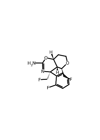 NC1=N[C@](CF)(c2ccccc2F)[C@H]2[C@H](CF)OCC[C@H]2O1